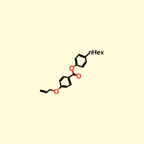 C=CCOc1ccc(C(=O)Oc2ccc(CCCCCC)cc2)cc1